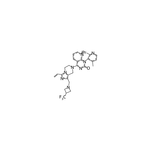 C=Cc1nc(CN2CC(C(F)(F)F)C2)c2n1CCN(c1nc(=O)n(-c3c(C)ccnc3C(C)C)c3ncccc13)C2